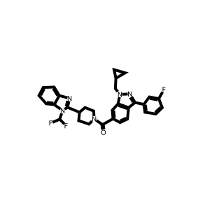 O=C(c1ccc2c(-c3cccc(F)c3)nn(CC3CC3)c2c1)N1CCC(c2nc3ccccc3n2C(F)F)CC1